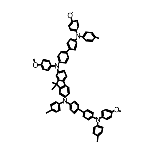 COc1ccc(N(c2ccc(C)cc2)c2ccc(-c3ccc(N(c4ccc(C)cc4)c4ccc5c(c4)C(C)(C)c4cc(N(c6ccc(OC)cc6)c6ccc(-c7ccc(N(c8ccc(C)cc8)c8ccc(OC)cc8)cc7)cc6)ccc4-5)cc3)cc2)cc1